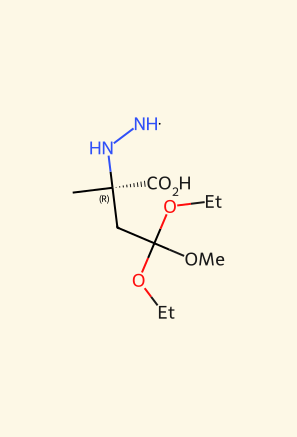 CCOC(C[C@@](C)(N[NH])C(=O)O)(OC)OCC